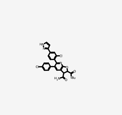 CC(C)(C)C(=O)C1Oc2nc(-c3ccc(-c4cc[nH]n4)cc3Cl)c(-c3ccc(Cl)cc3)cc2C1C(N)=O